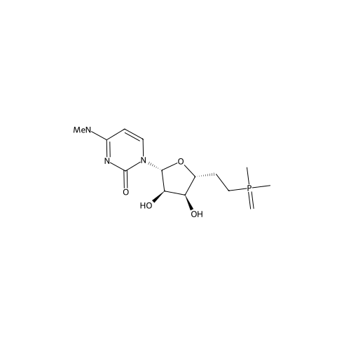 C=P(C)(C)CC[C@H]1O[C@@H](n2ccc(NC)nc2=O)[C@H](O)[C@@H]1O